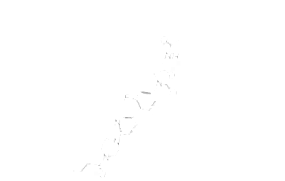 C/C=C/C(=O)N1CCN(c2ccc(-c3ccc(N4C[C@H](CNC(C)=O)OC4=O)cc3F)cn2)CC1